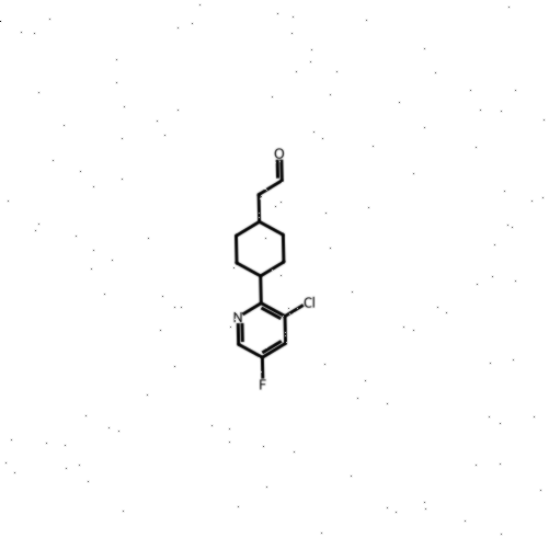 O=CCC1CCC(c2ncc(F)cc2Cl)CC1